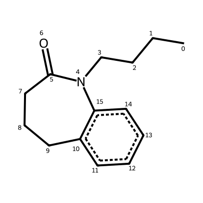 CCCCN1C(=O)CCCc2ccccc21